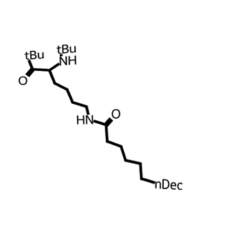 CCCCCCCCCCCCCCCC(=O)NCCCCC(NC(C)(C)C)C(=O)C(C)(C)C